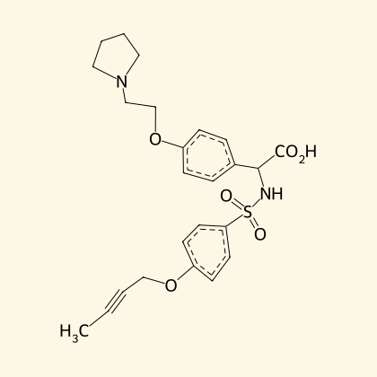 CC#CCOc1ccc(S(=O)(=O)NC(C(=O)O)c2ccc(OCCN3CCCC3)cc2)cc1